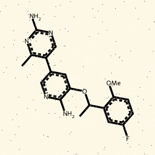 COc1ccc(F)cc1C(C)Oc1cc(-c2cnc(N)nc2C)cnc1N